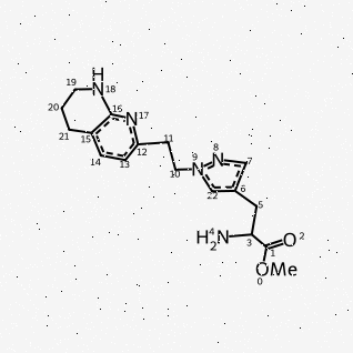 COC(=O)C(N)Cc1cnn(CCc2ccc3c(n2)NCCC3)c1